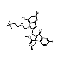 C=CC[C@@]1(C(=O)OC)c2ccc(F)cc2C(=O)N1Cc1cc2nc(Br)cc(Cl)c2n1COCC[Si](C)(C)C